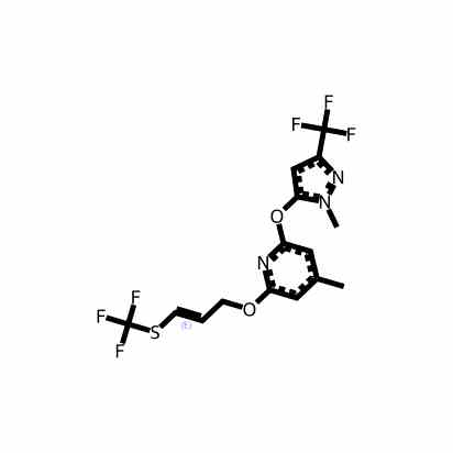 Cc1cc(OC/C=C/SC(F)(F)F)nc(Oc2cc(C(F)(F)F)nn2C)c1